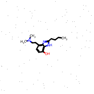 CCCCc1nc2c(CCN(C)C)ccc(O)c2[nH]1